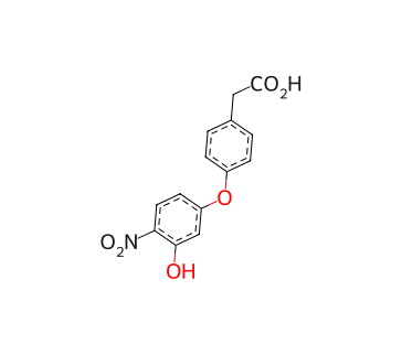 O=C(O)Cc1ccc(Oc2ccc([N+](=O)[O-])c(O)c2)cc1